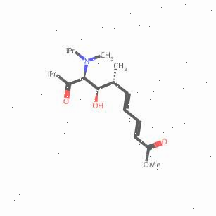 COC(=O)/C=C/C=C/[C@@H](C)[C@@H](O)[C@@H](C(=O)C(C)C)N(C)C(C)C